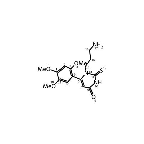 COc1cc(OC)c(-c2cc(=O)[nH]c(=S)n2CCCN)cc1OC